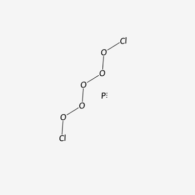 ClOOOOOCl.[P]